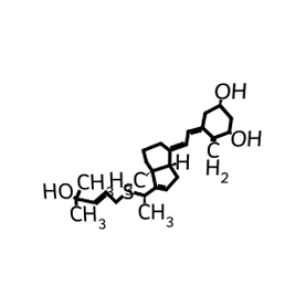 C=C1C(=CC=C2CCC[C@]3(C)C([C@@H](C)SC/C=C/C(C)(C)O)=CC[C@@H]23)C[C@@H](O)C[C@@H]1O